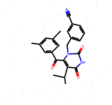 Cc1cc(C)cc(C(=O)c2c(C(C)C)c(=O)[nH]c(=O)n2Cc2cccc(C#N)c2)c1